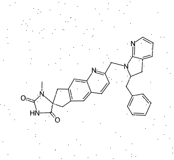 CN1C(=O)NC(=O)C12Cc1cc3ccc(CN4c5ncccc5CC4Cc4ccccc4)nc3cc1C2